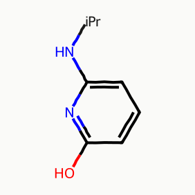 CC(C)Nc1cccc(O)n1